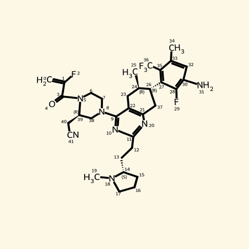 C=C(F)C(=O)N1CCN(c2nc(CC[C@@H]3CCCN3C)nc3c2C[C@@H](C)[C@H](c2c(F)c(N)cc(C)c2C(F)(F)F)C3)C[C@H]1CC#N